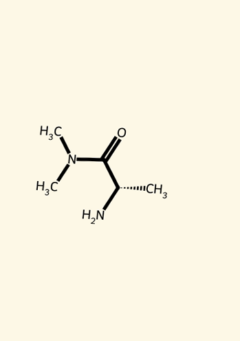 C[C@H](N)C(=O)N(C)C